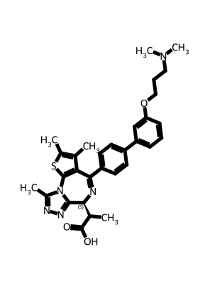 Cc1sc2c(c1C)C(c1ccc(-c3cccc(OCCCN(C)C)c3)cc1)=N[C@@H](C(C)C(=O)O)c1nnc(C)n1-2